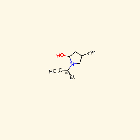 CCCC1CC(O)N([C@@H](CC)C(=O)O)C1